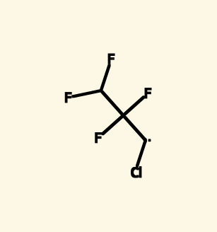 FC(F)C(F)(F)[CH]Cl